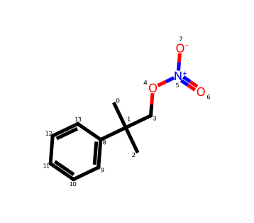 CC(C)(CO[N+](=O)[O-])c1ccccc1